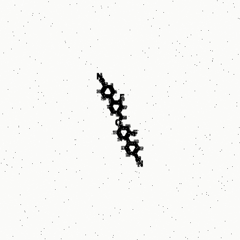 N#Cc1ccc(-c2ccc(COc3ccc(-c4ccc(C#N)cc4)c(F)c3)cc2F)cc1